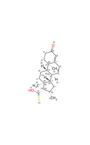 C[C@H]1C[C@H]2[C@@H]3CCC4=CC(=O)CC[C@]4(C)[C@H]3CC[C@]2(C)[C@H]1C(O)=S